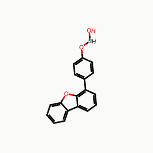 OBOc1ccc(-c2cccc3c2oc2ccccc23)cc1